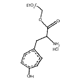 CCOC(=O)COC(=O)C(N)Cc1ccc(O)cc1.Cl